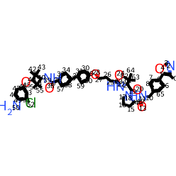 Cc1ncoc1-c1ccc(CNC(=O)[C@@H]2CCCN2C(=O)[C@@H](NC(=O)CCCOc2ccc(-c3ccc(C(=O)N[C@H]4C(C)(C)[C@H](Oc5ccc(N)c(Cl)c5)C4(C)C)cc3)cc2)C(C)(C)C)cc1